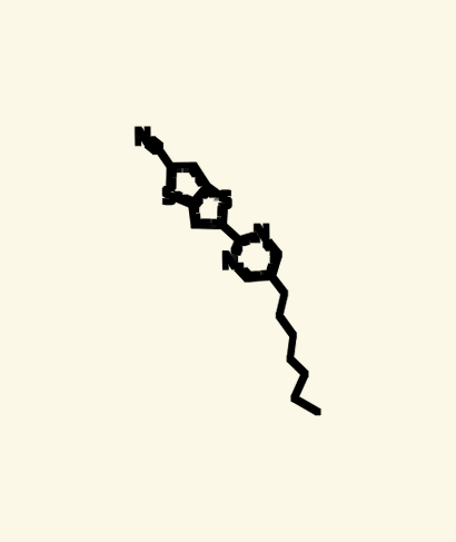 CCCCCCCc1cnc(-c2cc3sc(C#N)cc3s2)nc1